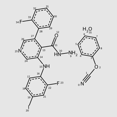 N#COc1ccccc1.NNC(=O)c1c(Nc2ccc(I)cc2F)cncc1-c1ccccc1F.O